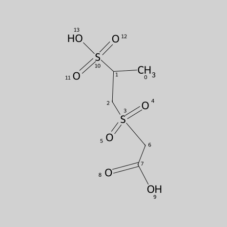 CC(CS(=O)(=O)CC(=O)O)S(=O)(=O)O